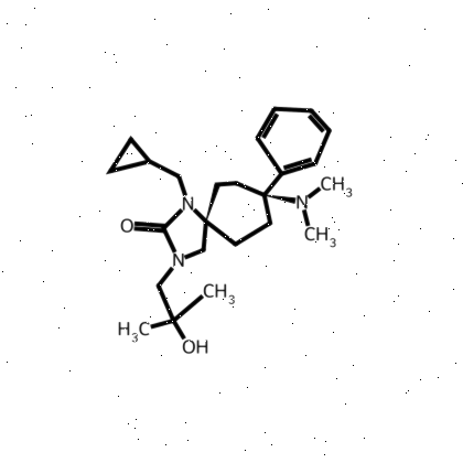 CN(C)[C@]1(c2ccccc2)CC[C@@]2(CC1)CN(CC(C)(C)O)C(=O)N2CC1CC1